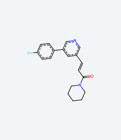 O=C(/C=C/c1cncc(-c2ccc(F)cc2)c1)N1CCCCC1